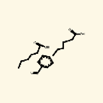 CCCCCC(=O)O.CCCCCC(=O)O.O=Ic1ccccc1